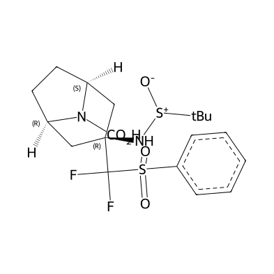 CC(C)(C)[S+]([O-])N[C@@]1(C(F)(F)S(=O)(=O)c2ccccc2)C[C@H]2CC[C@@H](C1)N2C(=O)O